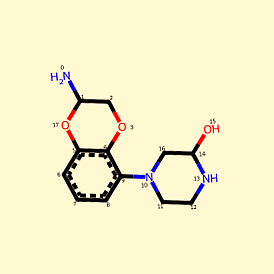 NC1COc2c(cccc2N2CCNC(O)C2)O1